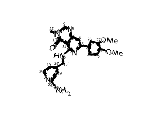 COc1ccc(-c2cc3ncn(C)c(=O)c3c(NCc3ccnc(N)c3)n2)cc1OC